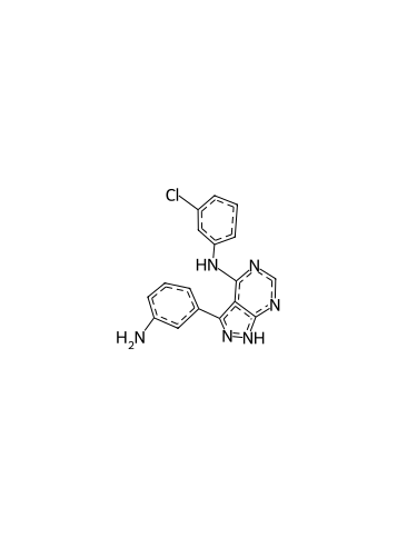 Nc1cccc(-c2n[nH]c3ncnc(Nc4cccc(Cl)c4)c23)c1